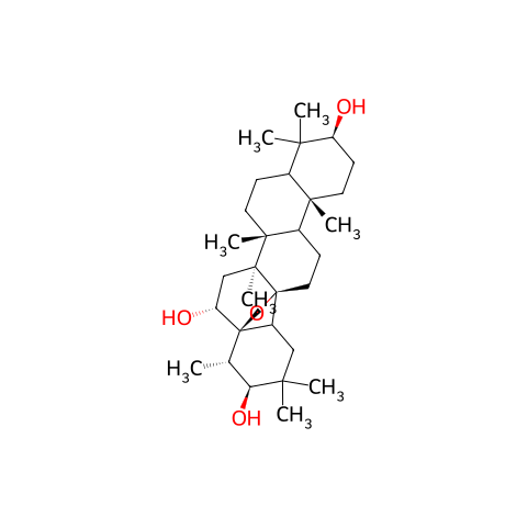 C[C@H]1[C@H](O)C(C)(C)CC2[C@]13CO[C@@]21CCC2[C@@]4(C)CC[C@H](O)C(C)(C)C4CC[C@@]2(C)[C@]1(C)C[C@H]3O